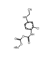 CCCCOC(=O)OC(=O)Nc1ccc(NCC#N)cc1Cl